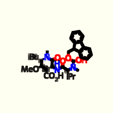 CC[C@H](C)[C@@H]([C@@H](CC(=O)O)OC)N(C)C(=O)[C@@H](NC(=O)[C@H](C(C)C)N(C)C(O)OCC1c2ccccc2-c2ccccc21)C(C)C